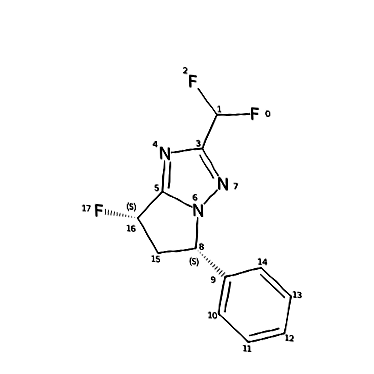 FC(F)c1nc2n(n1)[C@H](c1ccccc1)C[C@@H]2F